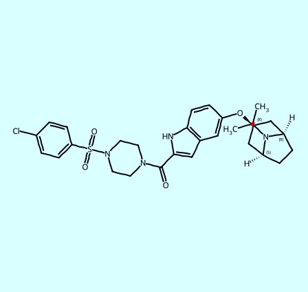 CC(C)N1[C@@H]2CC[C@H]1C[C@@H](Oc1ccc3[nH]c(C(=O)N4CCN(S(=O)(=O)c5ccc(Cl)cc5)CC4)cc3c1)C2